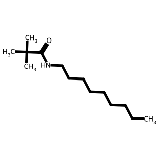 CCCCCCCCCNC(=O)C(C)(C)C